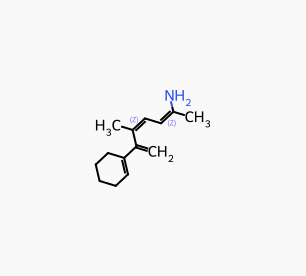 C=C(C1=CCCCC1)/C(C)=C\C=C(\C)N